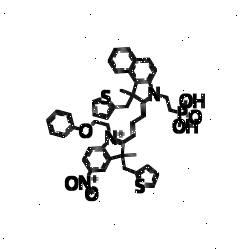 CC1(Cc2cccs2)C(/C=C/C=C2/N(CCP(=O)(O)O)c3ccc4ccccc4c3C2(C)Cc2cccs2)=[N+](CCOc2ccccc2)c2ccc([N+](=O)[O-])cc21